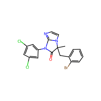 CC1(Cc2ccccc2Br)C(=O)N(c2cc(Cl)cc(Cl)c2)c2nccn21